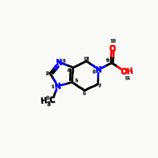 Cn1cnc2c1CCN(C(=O)O)C2